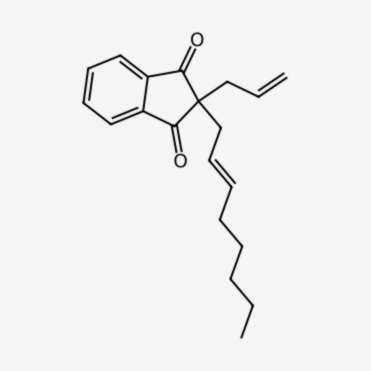 C=CCC1(CC=CCCCCC)C(=O)c2ccccc2C1=O